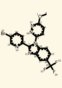 COc1ccc(-n2c(-c3ccc(Br)cn3)nc3cc(C(F)(F)F)ccc32)nn1